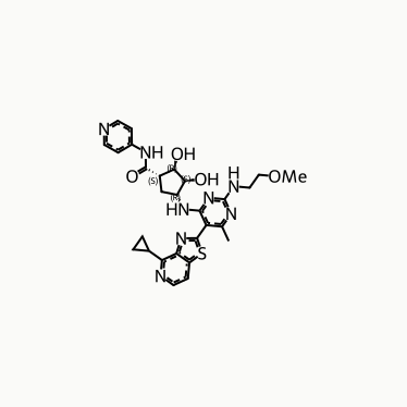 COCCNc1nc(C)c(-c2nc3c(C4CC4)nccc3s2)c(N[C@@H]2C[C@H](C(=O)Nc3ccncc3)[C@@H](O)[C@H]2O)n1